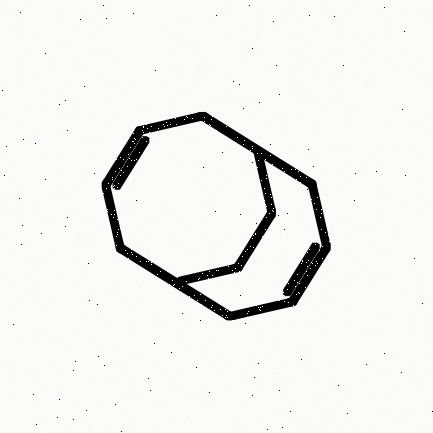 C1=CCC2CC=CCC(C1)CC2